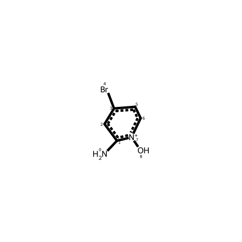 Nc1cc(Br)cc[n+]1O